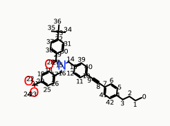 CCCCc1ccc(C#Cc2ccc(CN(Cc3ccc(C(=O)OC)cc3)C(=O)c3ccc(C(C)(C)C)cc3)cc2)cc1